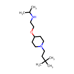 CC(C)NCCOC1CCN(CCC(C)(C)C)CC1